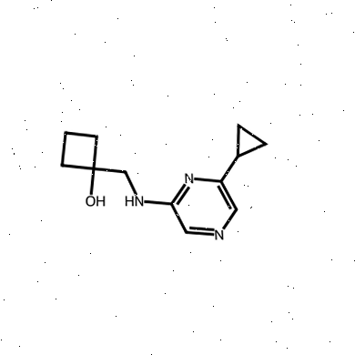 OC1(CNc2cncc(C3CC3)n2)CCC1